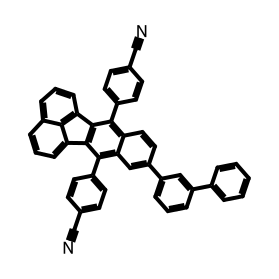 N#Cc1ccc(-c2c3c(c(-c4ccc(C#N)cc4)c4cc(-c5cccc(-c6ccccc6)c5)ccc24)-c2cccc4cccc-3c24)cc1